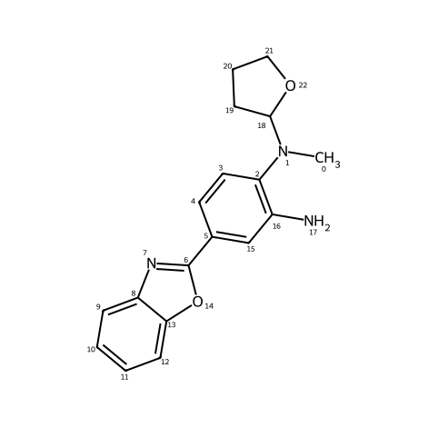 CN(c1ccc(-c2nc3ccccc3o2)cc1N)C1CCCO1